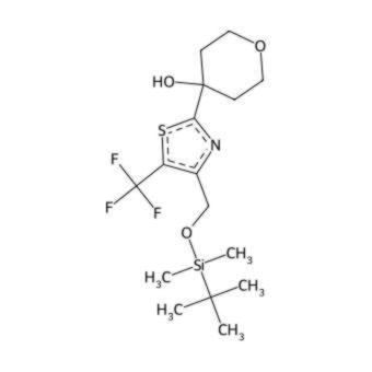 CC(C)(C)[Si](C)(C)OCc1nc(C2(O)CCOCC2)sc1C(F)(F)F